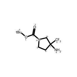 CC(C)(C)OC(=O)N1CCC(N)(C(F)(F)F)C1